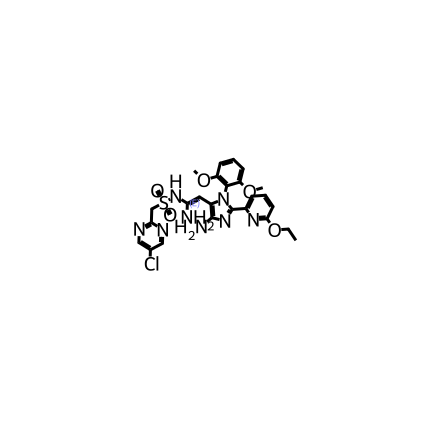 CCOc1cccc(-c2nc(N)c(/C=C(\N)NS(=O)(=O)Cc3ncc(Cl)cn3)n2-c2c(OC)cccc2OC)n1